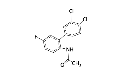 CC(=O)Nc1ccc(F)cc1-c1ccc(Cl)c(Cl)c1